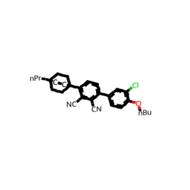 CCCCOc1ccc(-c2ccc(C34CCC(CCC)(CC3)CC4)c(C#N)c2C#N)cc1Cl